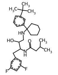 CC(C)CC(=O)NC(Cc1cc(F)cc(F)c1)C(O)CNC1(c2cccc(C(C)(C)C)c2)CCCCC1